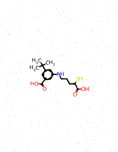 CC(C)(C)c1cc(NCCCC(S)C(=O)O)cc(C(=O)O)c1